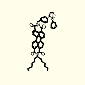 CCCCCCC(CCCCCC)N1C(=O)c2ccc3c4ccc5c6c(ccc(c7ccc(c2c37)C1=O)c64)C(=O)N(Cc1ccc([C@@H]2CCON2c2ccccc2)cc1)C5=O